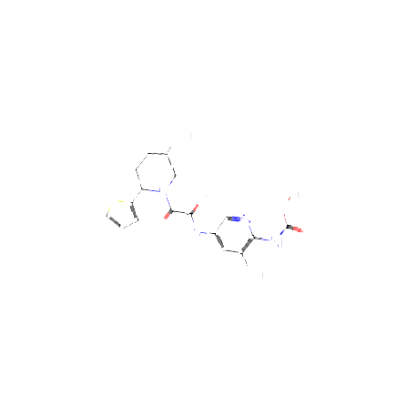 Cc1cc(NC(=O)C(=O)N2CC(C)CCC2c2cccs2)cnc1NC(=O)OC(C)(C)C